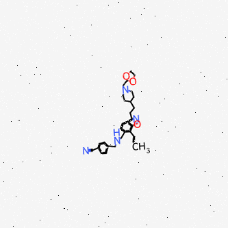 CC=Cc1c(CNCc2ccc(C#N)cc2)ccc2c(CCC3CCN(CC4OCCO4)CC3)noc12